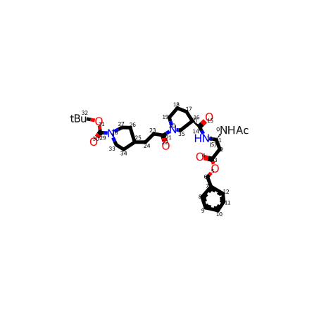 CC(=O)N[C@H](CC(=O)OCc1ccccc1)NC(=O)[C@@H]1CCCN(C(=O)CCC2CCN(C(=O)OC(C)(C)C)CC2)C1